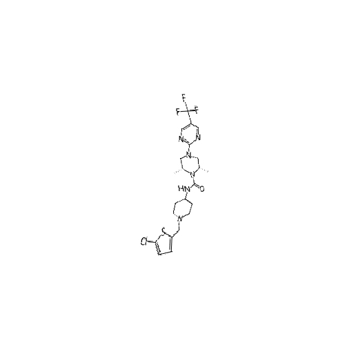 C[C@@H]1CN(c2ncc(C(F)(F)F)cn2)C[C@H](C)N1C(=O)NC1CCN(Cc2ccc(Cl)s2)CC1